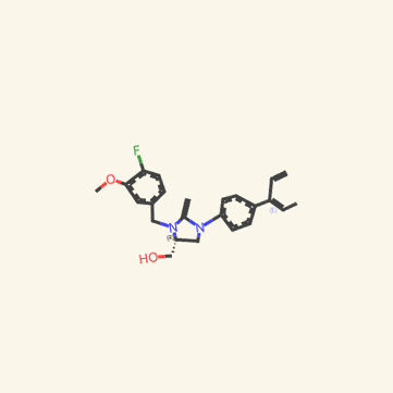 C=C/C(=C\C)c1ccc(N2C[C@H](CO)N(Cc3ccc(F)c(OC)c3)C2=C)cc1